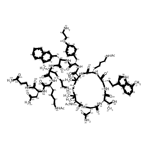 CC(=O)NCCCC[C@@H]1NC(=O)[C@H](CCc2c[nH]c3c(C)cccc23)NC(=O)[C@H]([C@@H](C)O)NC(=O)[C@H](CC(N)=O)NC(=O)[C@@H](NC(C)=O)C(C)(C)SSC(C)(C)[C@@H](C(=O)N[C@@H](Cc2ccc(OCCN)cc2)C(=O)N[C@@H](Cc2ccc3ccccc3c2)C(=O)N[C@@](C)(CCCCN)C(=O)N[C@@H](CCCCNC(C)=O)C(=O)N[C@@H](CC(N)=O)C(=O)NCCC(N)=O)NC1=O